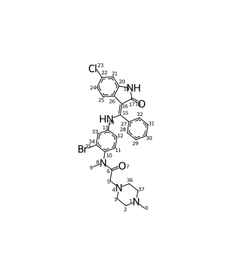 CN1CCN(CC(=O)N(C)c2ccc(NC(=C3C(=O)Nc4cc(Cl)ccc43)c3ccccc3)cc2Br)CC1